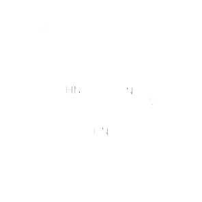 COCCNC1=NSc2cccc(C)c2N1